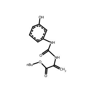 C=C(NC(=O)Nc1cccc(O)c1)C(=O)OCCCC